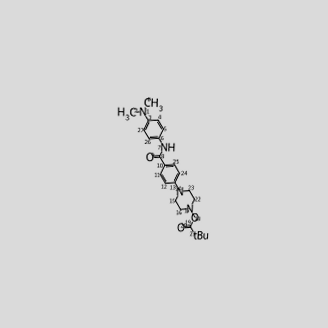 CN(C)c1ccc(NC(=O)c2ccc(N3CCN(OC(=O)C(C)(C)C)CC3)cc2)cc1